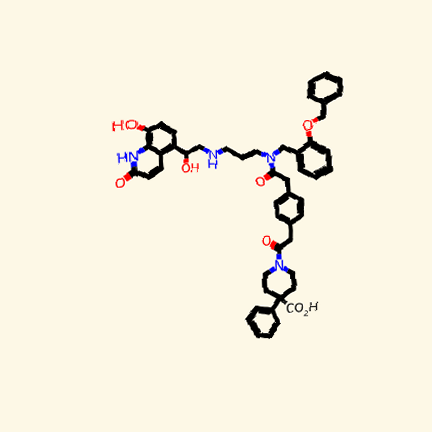 O=C(Cc1ccc(CC(=O)N(CCCNCC(O)c2ccc(O)c3[nH]c(=O)ccc23)Cc2ccccc2OCc2ccccc2)cc1)N1CCC(C(=O)O)(c2ccccc2)CC1